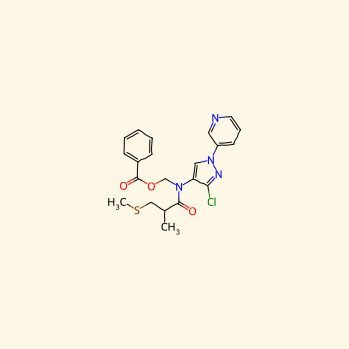 CSCC(C)C(=O)N(COC(=O)c1ccccc1)c1cn(-c2cccnc2)nc1Cl